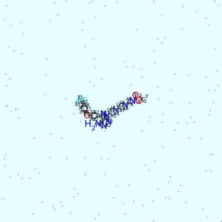 CC(C)(C)OC(=O)N1CC(N2CCC(N3CCC(n4nc(-c5ccc(Oc6ccc(C(F)(F)F)cc6)cc5)c5c(N)ncnc54)CC3)CC2)C1